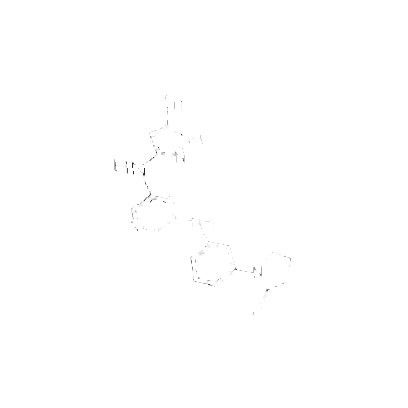 Cc1cc(Nc2cncc(Nc3cccc(N4CCCC4=O)c3)n2)n[nH]1